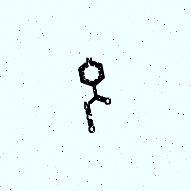 O=C=NC(=O)c1ccncc1